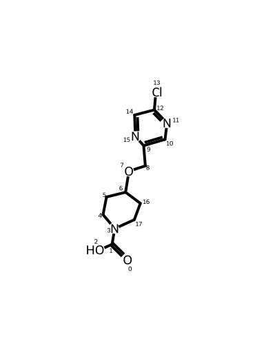 O=C(O)N1CCC(OCc2cnc(Cl)cn2)CC1